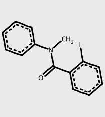 CN(C(=O)c1ccccc1I)c1ccccc1